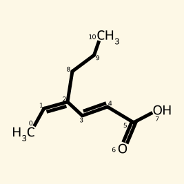 CC=C(C=CC(=O)O)CCC